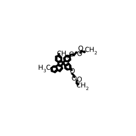 C=CC(=O)OCCOc1ccc(C2(c3ccc(OCCOC(=O)C=C)cc3)c3cc(C)ccc3-c3c2ccc2ccc(C)cc32)cc1